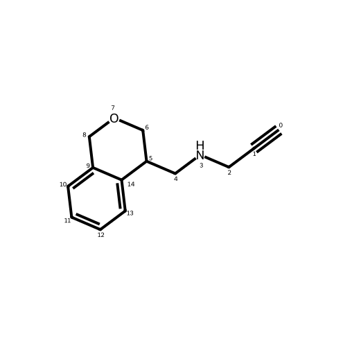 C#CCNCC1COCc2ccccc21